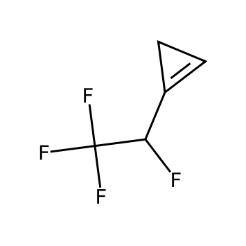 FC(C1=CC1)C(F)(F)F